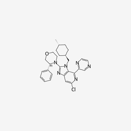 C[C@H]1CC[C@H](Cn2c(N3CCOC[C@H]3c3ccccc3)nc3cc(Cl)nc(-c4cnccn4)c32)CC1